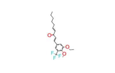 CCCCC/C=C/C(=O)/C=C/c1cc(OCC)c(OC)c(C(F)(F)F)c1